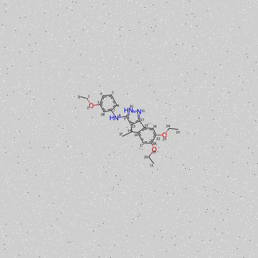 CCOc1cccc(Nc2[nH]nc3c2C(C)c2cc(OCC)c(OCC)cc2-3)c1